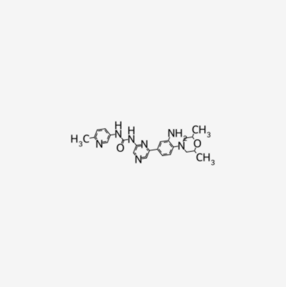 Cc1ccc(NC(=O)Nc2cncc(-c3ccc(N4CC(C)OC(C)C4)c(N)c3)n2)cn1